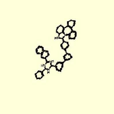 C1=CCCC(C2NC(c3cccc(-c4cccc(C5=CCC(C6NC7CCCC8=C7N6c6ccccc6C6=C8CCC=C6)C=C5)c4)c3)NC(c3ccc4ccccc4c3)N2)=C1